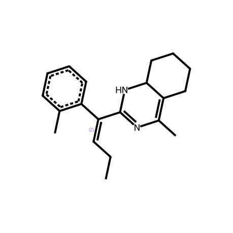 CC/C=C(\C1=NC(C)=C2CCCCC2N1)c1ccccc1C